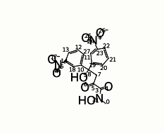 CN(O)C(=O)C(=O)CC(O)(c1cccc([N+](=O)[O-])c1)c1cccc([N+](=O)[O-])c1